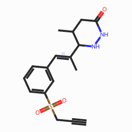 C#CCS(=O)(=O)c1cccc(/C=C(\C)C2NNC(=O)CC2C)c1